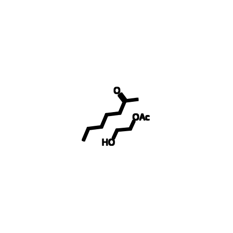 CC(=O)OCCO.CCCCCC(C)=O